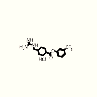 Cl.N=C(N)NCC1CCC(C(=O)Oc2cccc(C(F)(F)F)c2)CC1